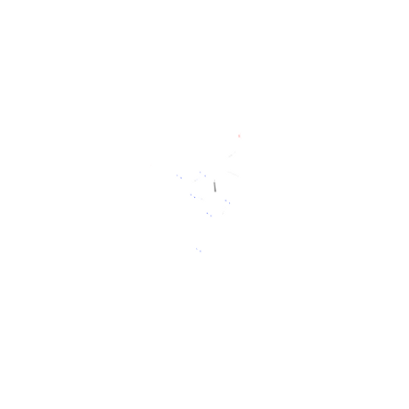 Oc1cccc(-c2nc(N3CCOCC3)nc3c2ncn3CCN2CCCCC2)c1